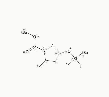 CC1C[C@@H](O[Si](C)(C)C(C)(C)C)CN1C(=O)OC(C)(C)C